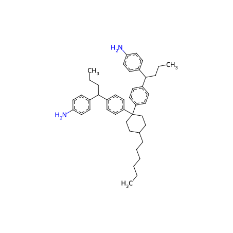 CCCCCCC1CCC(c2ccc(C(CCC)c3ccc(N)cc3)cc2)(c2ccc(C(CCC)c3ccc(N)cc3)cc2)CC1